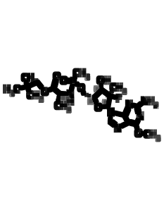 COc1nc(N)nc2c1ncn2[C@@H]1O[C@H](COP(C)(=O)N[C@@H](C)C(=O)OCC(C)(C)C)[C@@H](O)[C@@]1(C)F